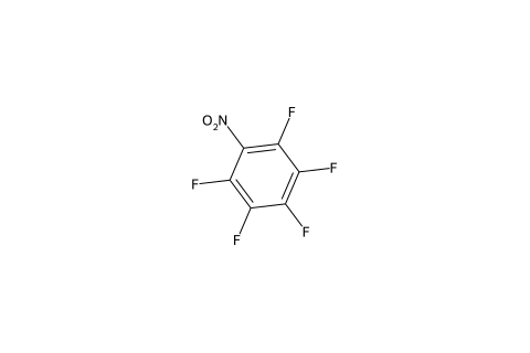 O=[N+]([O-])c1c(F)c(F)c(F)c(F)c1F